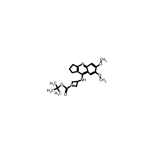 COc1cc2nc3c(c(NC4CN(C(=O)OC(C)(C)C)C4)c2cc1OC)CCC3